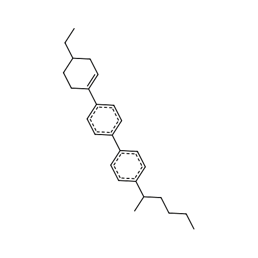 CCCCC(C)c1ccc(-c2ccc(C3=CCC(CC)CC3)cc2)cc1